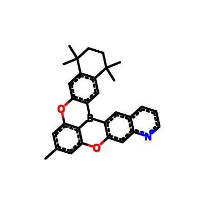 Cc1cc2c3c(c1)Oc1cc4ncccc4cc1B3c1cc3c(cc1O2)C(C)(C)CCC3(C)C